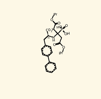 CC(C)OC(=O)CC(CC(=O)OC(C)C)(N[C@@H](Cc1ccc(-c2ccccc2)cc1)C(=O)O)P(=O)(O)O